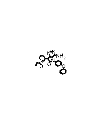 C=CC(=O)N1CCCC(C2C(=O)N(c3ccc(Oc4ccccc4)cc3)c3c(N)ncnc32)C1